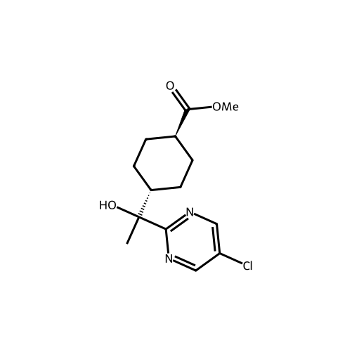 COC(=O)[C@H]1CC[C@H](C(C)(O)c2ncc(Cl)cn2)CC1